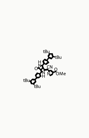 COC(=O)c1ccnc(/C(C#N)=c2\[nH]c(-c3ccc(-c4cc(C(C)(C)C)cc(C(C)(C)C)c4)cc3)c3c2=C(c2ccc(-c4cc(C(C)(C)C)cc(C(C)(C)C)c4)cc2)NC3=O)c1